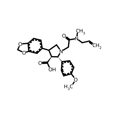 C=CCN(C)C(=O)CN1CC(c2ccc3c(c2)OCO3)[C@H](C(=O)O)[C@H]1c1ccc(OC)cc1